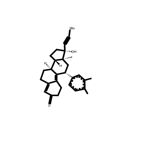 Cc1ccc([C@H]2C[C@@]3(C)[C@@H](CC[C@@]3(O)C#CC(C)(C)C)[C@@H]3CCC4=CC(=O)CCC4=C32)cc1C